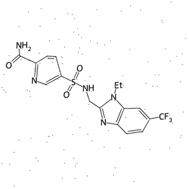 CCn1c(CNS(=O)(=O)c2ccc(C(N)=O)nc2)nc2ccc(C(F)(F)F)cc21